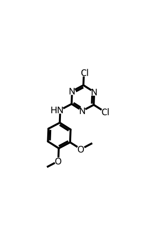 COc1ccc(Nc2nc(Cl)nc(Cl)n2)cc1OC